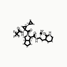 N#C[C@H](CC1CCCNC1=O)NC(=O)C1C2CCCC2CN1C(=O)[C@@]1(NC(=O)C(F)(F)F)C[C@H]1C1CC1